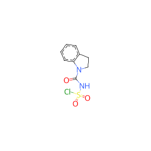 O=C(NS(=O)(=O)Cl)N1CCc2ccccc21